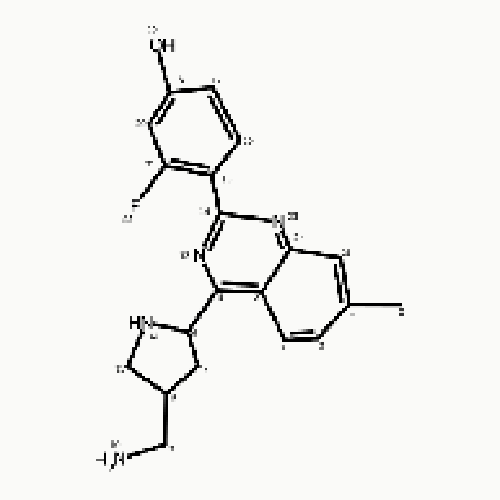 Cc1ccc2c(C3CC(CN)CN3)nc(-c3ccc(O)cc3F)nc2c1